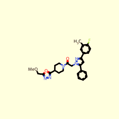 COCc1nnc(C2CCN(C(=O)Cn3nc(-c4ccc(F)c(C)c4)cc3-c3ccccc3)CC2)o1